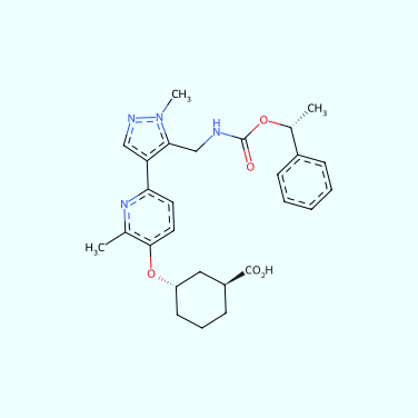 Cc1nc(-c2cnn(C)c2CNC(=O)O[C@H](C)c2ccccc2)ccc1O[C@H]1CCC[C@H](C(=O)O)C1